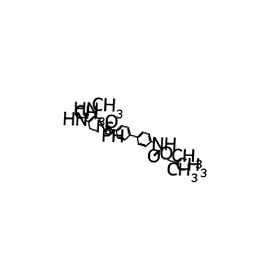 CNC1=C(NC)CN(S(=O)(=P)c2ccc(-c3ccc(NC(=O)OCC(C)(C)C)cc3)cc2)CC1